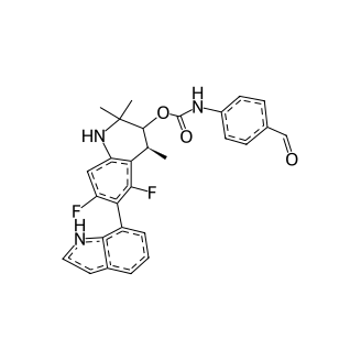 C[C@H]1c2c(cc(F)c(-c3cccc4cc[nH]c34)c2F)NC(C)(C)C1OC(=O)Nc1ccc(C=O)cc1